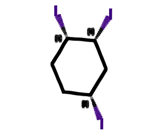 I[C@@H]1CC[C@H](I)[C@H](I)C1